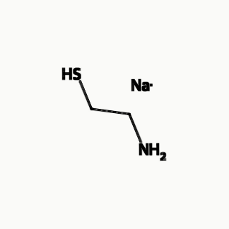 NCCS.[Na]